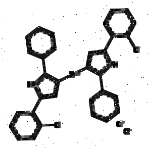 Clc1ccccc1-c1c[c]([Zr+2][c]2cc(-c3ccccc3Cl)[pH]c2-c2ccccc2)c(-c2ccccc2)[pH]1.[Cl-].[Cl-]